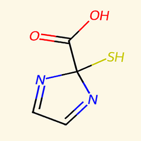 O=C(O)C1(S)N=CC=N1